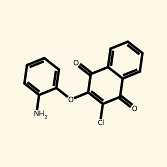 Nc1ccccc1OC1=C(Cl)C(=O)c2ccccc2C1=O